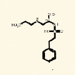 O=C[C@H](CNCCC(=O)O)NP(=O)(O)CCc1ccccc1